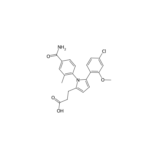 COc1cc(Cl)ccc1-c1ccc(CCC(=O)O)n1-c1ccc(C(N)=O)cc1C